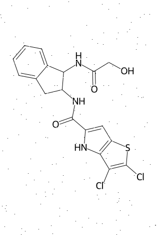 O=C(CO)NC1c2ccccc2CC1NC(=O)c1cc2sc(Cl)c(Cl)c2[nH]1